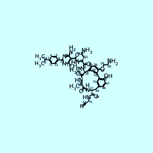 Cc1nc(-c2ccc(C(C)C)cc2)nc(N)c1C(=O)N[C@@H](CCN)C(=O)N(C)[C@@H]1C(=O)N[C@@H](C)C(=O)N[C@H](C(=O)NCC#N)Cc2ccc(O)c(c2)-c2cc1ccc2OCCN